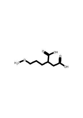 COCCCC(CC(=O)O)C(=O)O